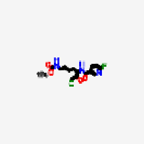 CC(C)(C)OC(=O)NCCCCC(NC(=O)c1ccc(F)nc1)C(=O)CCl